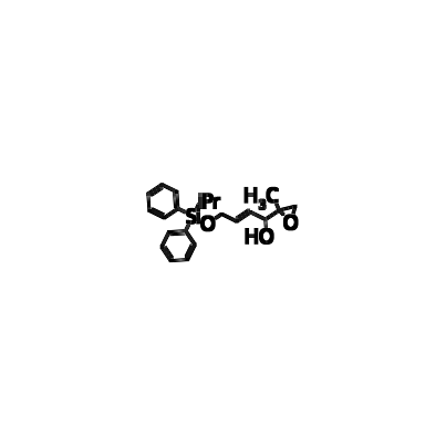 CC(C)[Si](OCC=CC(O)C1(C)CO1)(c1ccccc1)c1ccccc1